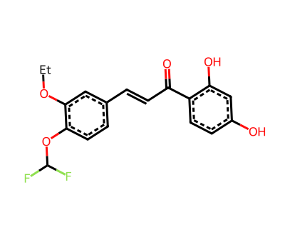 CCOc1cc(/C=C/C(=O)c2ccc(O)cc2O)ccc1OC(F)F